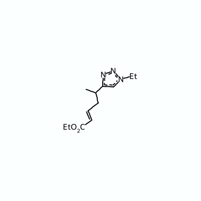 CCOC(=O)/C=C/CC(C)c1cn(CC)nn1